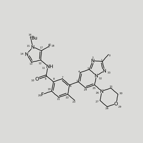 Cc1nc2cc(-c3cc(C(=O)Nc4cnn(C(C)(C)C)c4F)c(F)cc3C)cc(N3CCOCC3)n2n1